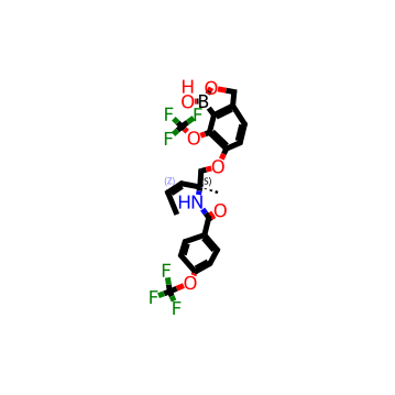 C/C=C\[C@@](C)(COc1ccc2c(c1OC(F)(F)F)B(O)OC2)NC(=O)c1ccc(OC(F)(F)F)cc1